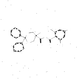 CC1(C(=O)OC(=O)c2c(Cl)cc(Cl)cc2Cl)COC(c2ccccc2)(c2ccccc2)OC1